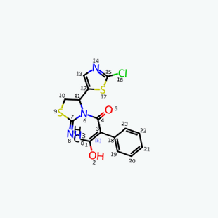 C/C(O)=C(\C(=O)N1C(=N)SCC1c1cnc(Cl)s1)c1ccccc1